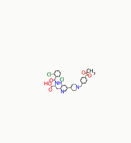 CS(=O)(=O)c1ccc(CN2CC=C(c3ccc(C[C@H](NC(=O)c4c(Cl)cccc4Cl)C(=O)O)nc3)CC2)cc1